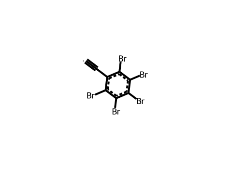 [C]#Cc1c(Br)c(Br)c(Br)c(Br)c1Br